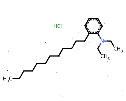 CCCCCCCCCCCCc1ccccc1N(CC)CC.Cl